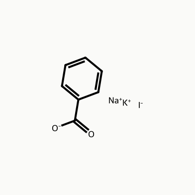 O=C([O-])c1ccccc1.[I-].[K+].[Na+]